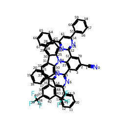 N#Cc1cc(-c2nc(-c3ccccc3)cc(-c3ccccc3)n2)c(-n2c3ccccc3c3ccc(-c4cc(C(F)(F)F)cc(C(F)(F)F)c4)cc32)c(-c2nc(-c3ccccc3)cc(-c3ccccc3)n2)c1